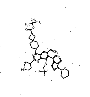 C=Cc1cc2c(N3CCC4(CC3)CN(C(=O)OC(C)(C)C)C4)nc(C3CCNCC3)nc2c(OCC(F)(F)F)c1-c1cncc2c1cnn2C1CCCCO1